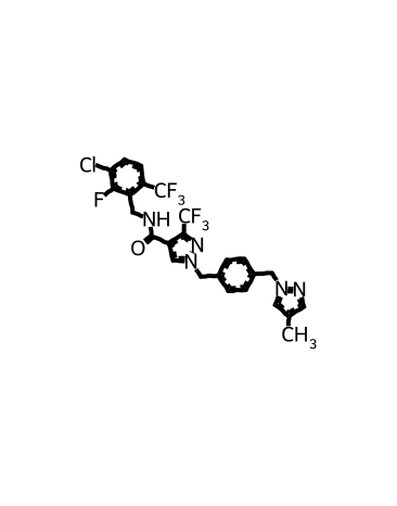 Cc1cnn(Cc2ccc(Cn3cc(C(=O)NCc4c(C(F)(F)F)ccc(Cl)c4F)c(C(F)(F)F)n3)cc2)c1